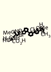 COc1nc(O[C@H]2CCc3c(-c4cccc(-c5ccc(C6NCCN6C)c(OC)n5)c4Cl)cccc32)c(Br)cc1CN[C@](C)(CO)C(=O)O